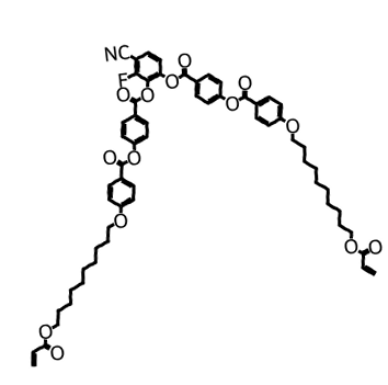 C=CC(=O)OCCCCCCCCCCOc1ccc(C(=O)Oc2ccc(C(=O)Oc3ccc(C#N)c(F)c3OC(=O)c3ccc(OC(=O)c4ccc(OCCCCCCCCCCOC(=O)C=C)cc4)cc3)cc2)cc1